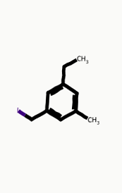 CCc1cc(C)cc(CI)c1